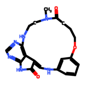 CN1CCNc2ncnc3c2/C(=C/Nc2cccc(c2)OCCCC1=O)C(=O)N3